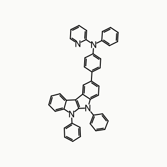 c1ccc(N(c2ccc(-c3ccc4c(c3)c3c5ccccc5n(-c5ccccc5)c3n4-c3ccccc3)cc2)c2ccccn2)cc1